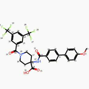 COc1ccc(-c2ccc(C(=O)NC3(C(=O)O)CCN(C(=O)c4cc(C(F)(F)F)cc(C(F)(F)F)c4)CC3)cc2)cc1